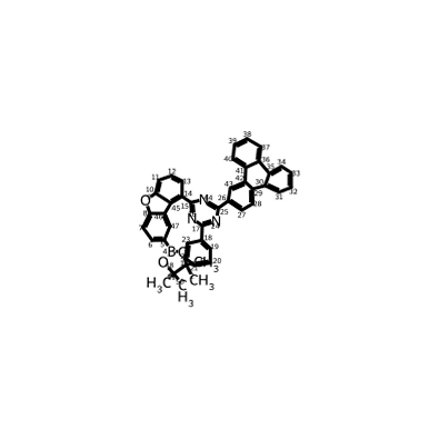 CC1(C)OB(c2ccc3oc4cccc(-c5nc(-c6ccccc6)nc(-c6ccc7c8ccccc8c8ccccc8c7c6)n5)c4c3c2)OC1(C)C